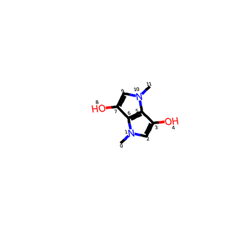 Cn1cc(O)c2c1c(O)cn2C